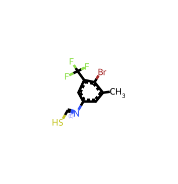 Cc1cc(/N=C/S)cc(C(F)(F)F)c1Br